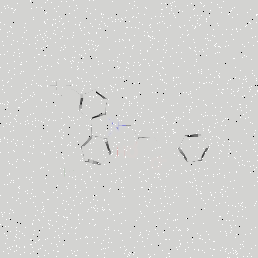 Bc1ccc2c(c1)c1cc(Br)ccc1n2CC(O)C[S+]([O-])c1ccccc1